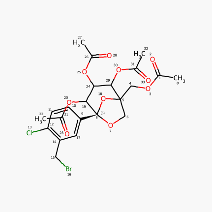 CC(=O)OCC12CO[C@@](c3ccc(Cl)c(CBr)c3)(O1)C(OC(C)=O)C(OC(C)=O)C2OC(C)=O